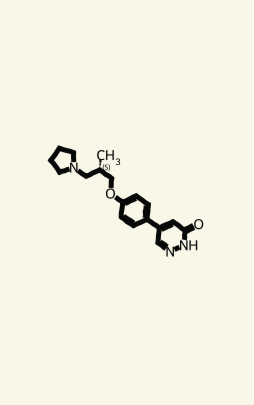 C[C@H](COc1ccc(-c2cn[nH]c(=O)c2)cc1)CN1CCCC1